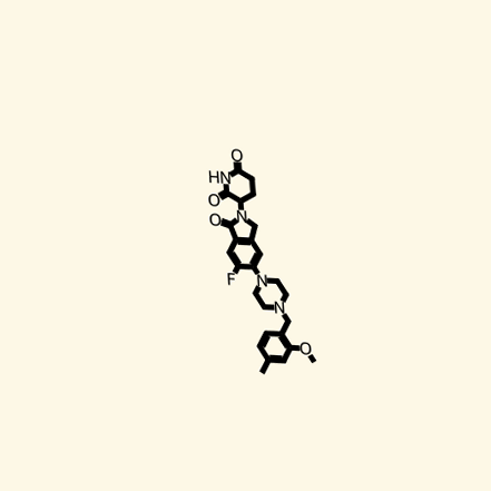 COc1cc(C)ccc1CN1CCN(c2cc3c(cc2F)C(=O)N(C2CCC(=O)NC2=O)C3)CC1